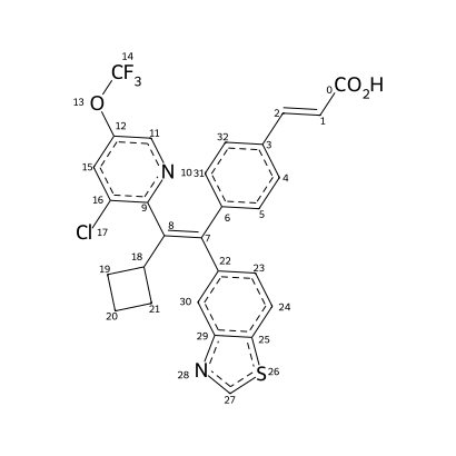 O=C(O)C=Cc1ccc(C(=C(c2ncc(OC(F)(F)F)cc2Cl)C2CCC2)c2ccc3scnc3c2)cc1